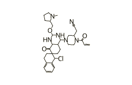 C=CC(=O)N1CCN(C2NC(OCC3CCCN3C)NC3C(=O)C4(CCc5ccccc5C4Cl)CCC32)CC1CC#N